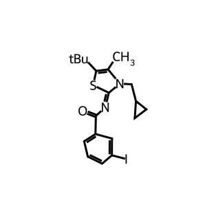 Cc1c(C(C)(C)C)s/c(=N\C(=O)c2cccc(I)c2)n1CC1CC1